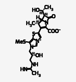 CSc1c2sc(C3=C(C(=O)[O-])N4C(=O)[C@H]([C@@H](C)O)[C@H]4[C@H]3C)c[n+]2cn1C[C@H](O)CNC(C)=N